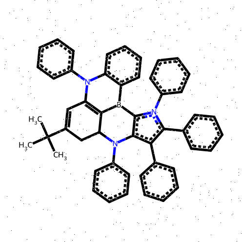 CC(C)(C)C1=CC2=C3B(c4ccccc4N2c2ccccc2)c2c(c(-c4ccccc4)c(-c4ccccc4)n2-c2ccccc2)N(c2ccccc2)C3C1